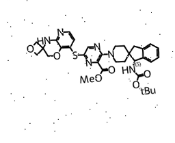 COC(=O)c1nc(Sc2ccnc3c2OCC2(COC2)N3)cnc1N1CCC2(CC1)Cc1ccccc1[C@H]2NC(=O)OC(C)(C)C